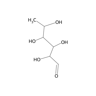 CC(O)C(O)C(O)C(O)C=O